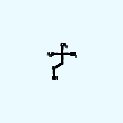 CC(C)(C)C[N]O